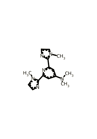 CN(C)c1cc(-c2nccn2C)nc(-c2nccn2C)c1